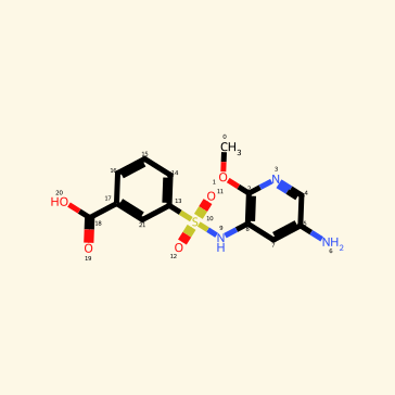 COc1ncc(N)cc1NS(=O)(=O)c1cccc(C(=O)O)c1